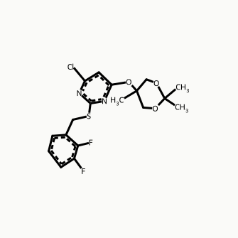 CC1(Oc2cc(Cl)nc(SCc3cccc(F)c3F)n2)COC(C)(C)OC1